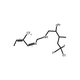 C/C=C(\C=N/CNCC(CCC)C(C)CC(F)(F)CC)C(F)(F)F